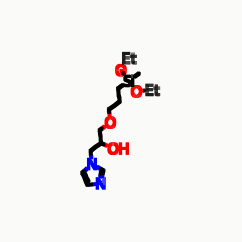 CCO[Si](C)(CCCOCC(O)Cn1ccnc1)OCC